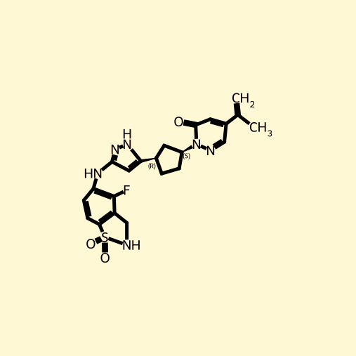 C=C(C)c1cnn([C@H]2CC[C@@H](c3cc(Nc4ccc5c(c4F)CNS5(=O)=O)n[nH]3)C2)c(=O)c1